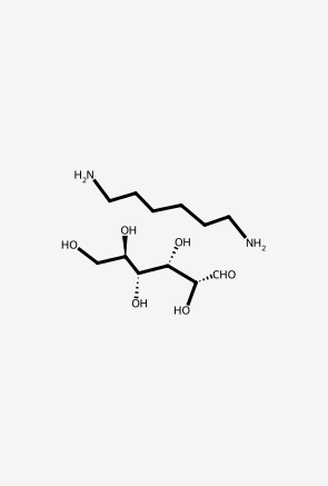 NCCCCCCN.O=C[C@H](O)[C@@H](O)[C@H](O)[C@H](O)CO